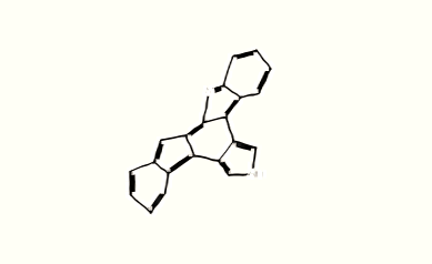 C1=c2ccccc2=c2c1c1c(c3c[nH]cc23)=c2ccccc2=N1